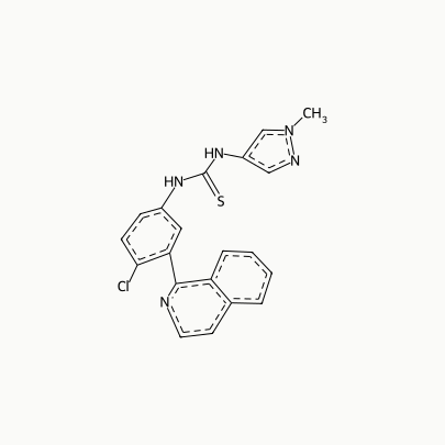 Cn1cc(NC(=S)Nc2ccc(Cl)c(-c3nccc4ccccc34)c2)cn1